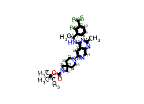 Cc1nc(N[C@H](C)c2cccc(C(F)F)c2F)c2cc(N3CCC4(CC3)CN(C(=O)OC(C)(C)C)C4)ncc2n1